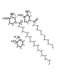 CCCCCCCCCCCC(=O)c1ccc(O)c(N)c1.CCCCCCCCCCCCCCCCCC(=O)c1ccc(O)c(N)c1.Nc1ccccc1O